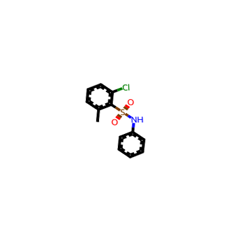 Cc1cccc(Cl)c1S(=O)(=O)Nc1ccccc1